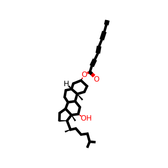 C#CC#CC#CC#CC(=O)O[C@@H]1CC[C@]2(C)C3C[C@H](O)[C@@]4(C)C(CC[C@@H]4[C@H](C)CCCC(C)C)C3CC[C@@H]2C1